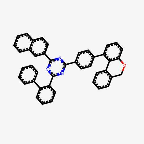 c1ccc(-c2ccccc2-c2nc(-c3ccc(-c4cccc5c4-c4ccccc4CO5)cc3)nc(-c3ccc4ccccc4c3)n2)cc1